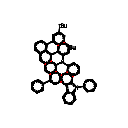 CC(C)(C)c1cc(-c2cccc3cccc(-c4ccccc4N(c4ccccc4-c4ccc(-c5ccccc5)cc4)c4ccccc4-c4ccc5c(c4)c4ccccc4n5-c4ccccc4)c23)cc(C(C)(C)C)c1